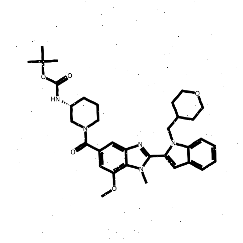 COc1cc(C(=O)N2CCC[C@@H](NC(=O)OC(C)(C)C)C2)cc2nc(-c3cc4ccccc4n3CC3CCOCC3)n(C)c12